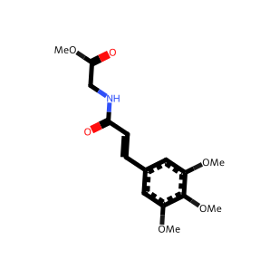 COC(=O)CNC(=O)/C=C/c1cc(OC)c(OC)c(OC)c1